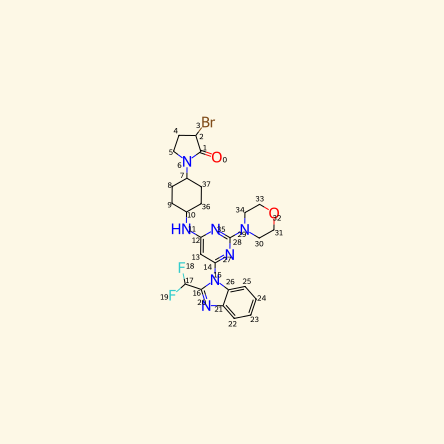 O=C1C(Br)CCN1C1CCC(Nc2cc(-n3c(C(F)F)nc4ccccc43)nc(N3CCOCC3)n2)CC1